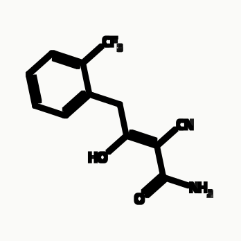 N#C/C(C(N)=O)=C(/O)Cc1ccccc1C(F)(F)F